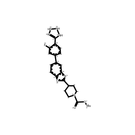 CC(C)(C)OC(=O)N1CCC(c2nc3cc(-c4ccc(C5=NNNN5)c(F)c4)ccc3o2)CC1